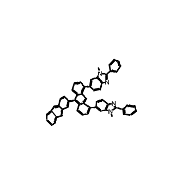 Cn1c(-c2ccccc2)nc2ccc(-c3cccc4c(-c5ccc6cc7ccccc7cc6c5)c5cccc(-c6ccc7nc(-c8ccccc8)n(C)c7c6)c5cc34)cc21